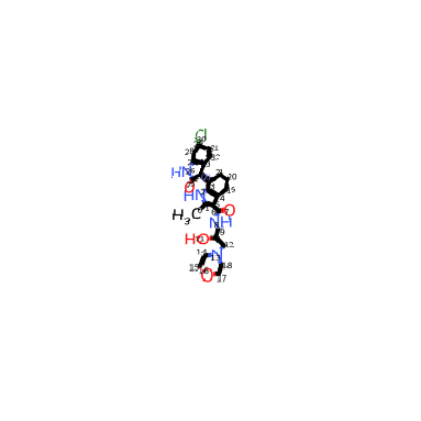 Cc1[nH]c2c(c1C(=O)NCC(O)CN1CCOCC1)CCC/C2=C1/C(=O)Nc2cc(Cl)ccc21